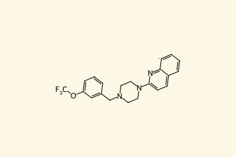 FC(F)(F)Oc1cccc(CN2CCN(c3ccc4ccc[c]c4n3)CC2)c1